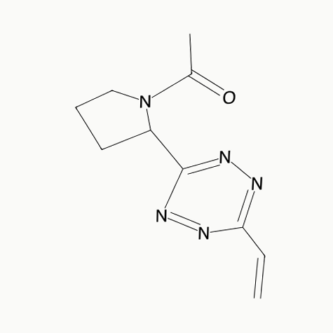 C=Cc1nnc(C2CCCN2C(C)=O)nn1